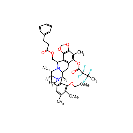 COCOc1c(OC)c(C)cc2c1[C@H]1C3Cc4c(OC(=O)C(F)(F)C(F)(F)C(F)(F)F)c(C)c5c(c4[C@H](COC(=O)CCc4ccccc4)N3[C@@H](C#N)[C@@H](C2)N1C)OCO5